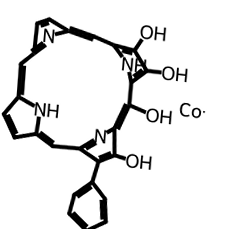 OC1=C(c2ccccc2)c2cc3ccc(cc4nc(cc5[nH]c(c(O)c1n2)c(O)c5O)C=C4)[nH]3.[Co]